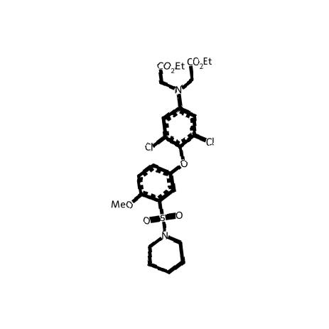 CCOC(=O)CN(CC(=O)OCC)c1cc(Cl)c(Oc2ccc(OC)c(S(=O)(=O)N3CCCCC3)c2)c(Cl)c1